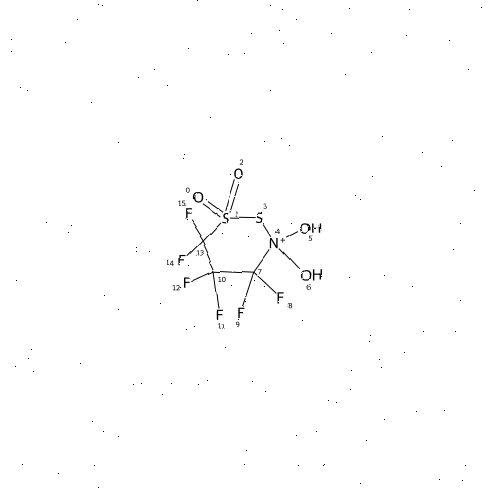 O=S1(=O)S[N+](O)(O)C(F)(F)C(F)(F)C1(F)F